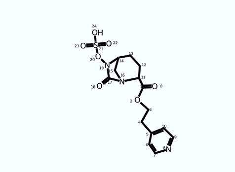 O=C(OCCc1ccncc1)C1CCC2CN1C(=O)N2OS(=O)(=O)O